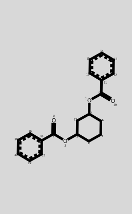 O=C(OC1CCCC(OC(=O)c2ccccc2)C1)c1ccccc1